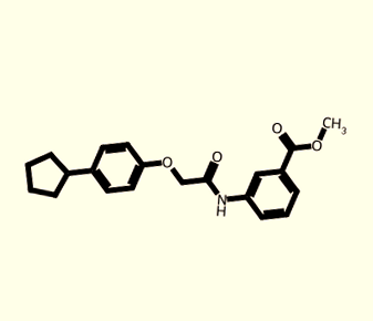 COC(=O)c1cccc(NC(=O)COc2ccc(C3CCCC3)cc2)c1